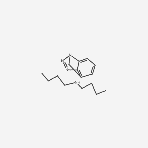 CCCCNCCCC.c1cc2c3nnn(c3c1)C2